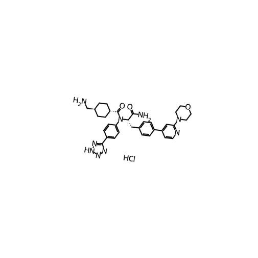 Cl.NC[C@H]1CC[C@H](C(=O)N(c2ccc(-c3nn[nH]n3)cc2)[C@@H](Cc2ccc(-c3ccnc(N4CCOCC4)c3)cc2)C(N)=O)CC1